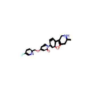 CC1Cc2oc3cc(-n4ccc(OCc5ccc(F)cn5)cc4=O)ccc3c2CN1